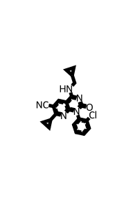 N#Cc1cc2c(NCC3CC3)nc(=O)n(-c3ccccc3Cl)c2nc1C1CC1